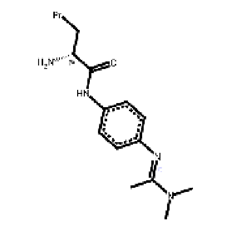 C/C(=N\c1ccc(NC(=O)[C@H](N)CC(C)C)cc1)N(C)C